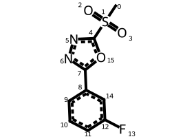 CS(=O)(=O)c1nnc(-c2cccc(F)c2)o1